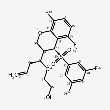 C=CC[C@H](OCCO)C1COc2c(F)ccc(F)c2[C@H]1S(=O)(=O)c1cc(F)cc(F)c1